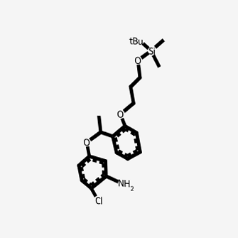 CC(Oc1ccc(Cl)c(N)c1)c1ccccc1OCCCO[Si](C)(C)C(C)(C)C